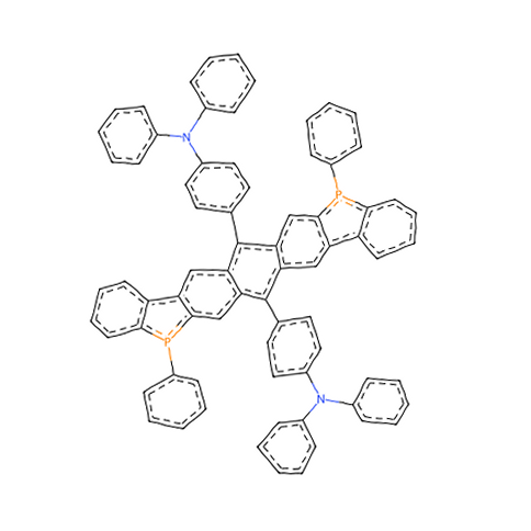 c1ccc(N(c2ccccc2)c2ccc(-c3c4cc5c6ccccc6p(-c6ccccc6)c5cc4c(-c4ccc(N(c5ccccc5)c5ccccc5)cc4)c4cc5c6ccccc6p(-c6ccccc6)c5cc34)cc2)cc1